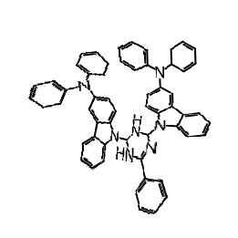 C1=CCCC(N(C2=CC=CCC2)c2ccc3c(c2)c2ccccc2n3C2NC(c3ccccc3)=NC(n3c4ccccc4c4cc(N(c5ccccc5)C5C=CC=CC5)ccc43)N2)=C1